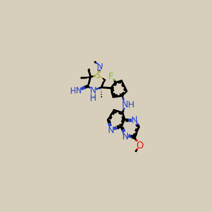 C/N=[S@]1/C[C@@](C)(c2cc(Nc3ccnc4nc(OC)cnc34)ccc2F)NC(=N)C1(C)C